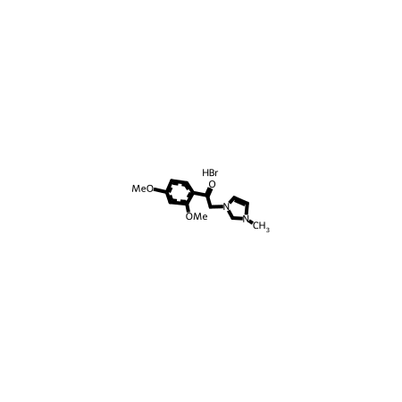 Br.COc1ccc(C(=O)CN2C=CN(C)C2)c(OC)c1